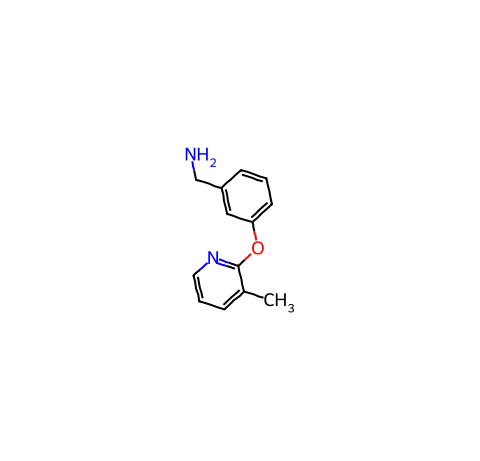 Cc1cccnc1Oc1cccc(CN)c1